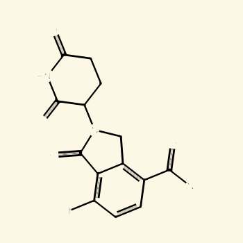 NC(=O)c1ccc(Cl)c2c1CN(C1CCC(=O)NC1=O)C2=O